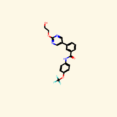 O=C(Nc1ccc(OC(F)(F)F)cc1)c1cccc(-c2cnc(OCCO)nc2)c1